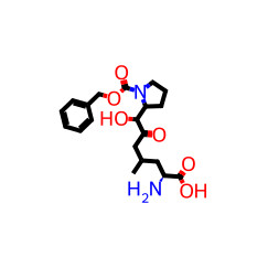 CC(CC(=O)C(O)C1CCCN1C(=O)OCc1ccccc1)C[C@@H](N)C(=O)O